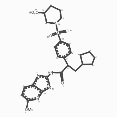 COc1ccc2nc(NC(=O)C(CC3CCCC3)c3ccc(S(=O)(=O)N4CCCC(C(=O)O)C4)cc3)sc2n1